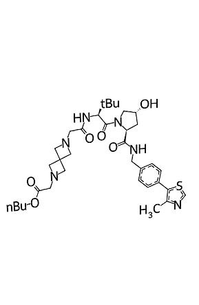 CCCCOC(=O)CN1CC2(CN(CC(=O)N[C@H](C(=O)N3C[C@H](O)C[C@H]3C(=O)NCc3ccc(-c4scnc4C)cc3)C(C)(C)C)C2)C1